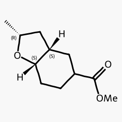 COC(=O)C1CC[C@@H]2O[C@H](C)C[C@@H]2C1